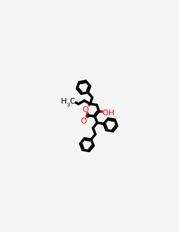 CCCC1(Cc2ccccc2)CC(O)=C(C(CCc2ccccc2)c2ccccc2)C(=O)O1